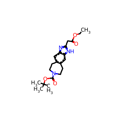 CCOC(=O)Cc1nc2cc3c(cc2[nH]1)CCN(C(=O)OC(C)(C)C)CC3